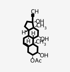 C#C[C@]1(O)CC[C@H]2[C@@H]3CC=C4C[C@@H](OC(C)=O)[C@H](O)C[C@]4(C)[C@H]3[C@@H](O)C[C@@]21C